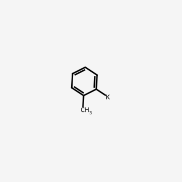 Cc1cccc[c]1[K]